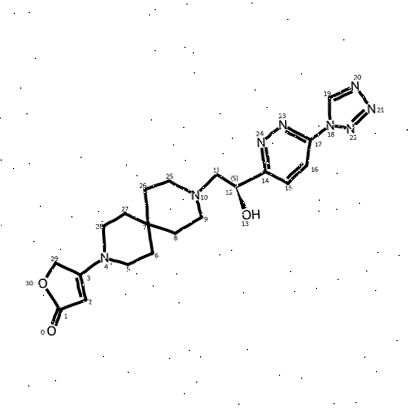 O=C1C=C(N2CCC3(CCN(C[C@H](O)c4ccc(-n5cnnn5)nn4)CC3)CC2)CO1